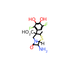 CC1S[C@@H]2C(N)C(=O)N2CC1(C(=O)O)c1cc(F)c(O)c(O)c1F